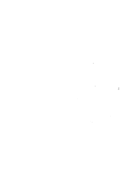 CC1(CO)Nc2c(cnc3[nH]cc(C(=O)C4CC=C(Oc5ccccc5)C=C4Cl)c23)NC1=O